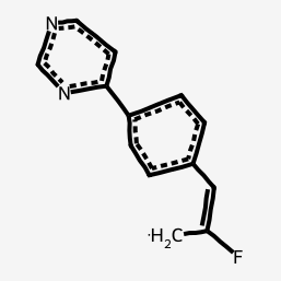 [CH2]/C(F)=C\c1ccc(-c2ccncn2)cc1